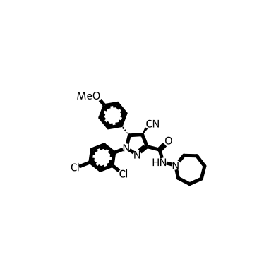 COc1ccc([C@@H]2[C@@H](C#N)C(C(=O)NN3CCCCCC3)=NN2c2ccc(Cl)cc2Cl)cc1